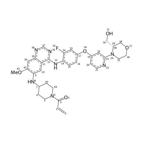 C=CC(=O)N1CCC(Nc2cc3c(Nc4ccc(Oc5ccnc(N6CCOC[C@H]6CO)c5)cc4F)ncnc3cc2OC)CC1